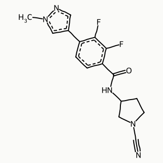 Cn1cc(-c2ccc(C(=O)NC3CCN(C#N)C3)c(F)c2F)cn1